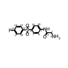 NCC(=O)Nc1ccc(S(=O)(=O)c2ccc(F)cc2)cc1